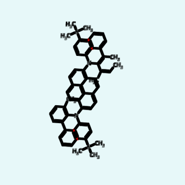 C/C=C(C)\C(=C(/C)c1ccccc1)N(c1ccc(S(C)(C)C)cc1)c1ccc2ccc3c(N(c4ccc(S(C)(C)C)cc4)c4c(C)cccc4-c4ccccc4)ccc4ccc1c2c43